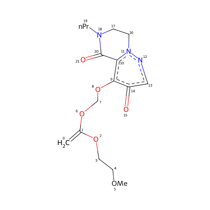 C=C(OCCOC)OCOc1c2n(ncc1=O)CCN(CCC)C2=O